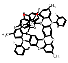 Cc1cc2c3c(c1)Oc1cc4c(cc1B3c1cc3c(cc1O2)N(c1c(F)cccc1F)c1cc(C)cc2c1B3c1sc3cc(F)cc(F)c3c1O2)B1c2sc3cc(F)cc(F)c3c2Oc2cc(C)cc(c21)N4c1c(F)cccc1F